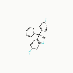 CC(=O)C(c1ccccc1)(c1ccc(F)cc1)c1ccc(F)cc1F